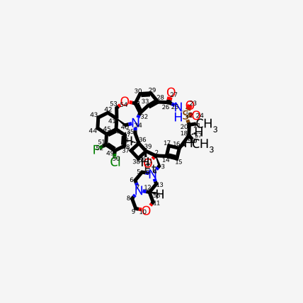 CCO[C@@]1(CN2CCN3CCOC[C@H]3C2)C2=C[C@@H](C2)[C@H](C)C(C)S(=O)(=O)NC(=O)c2ccc3c(c2)N(C[C@@H]2CC[C@H]21)C[C@@]1(CCCc2c1ccc(Cl)c2F)CO3